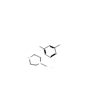 Cc1cc(F)ccc1[C@H]1CNCCN1C(=O)O